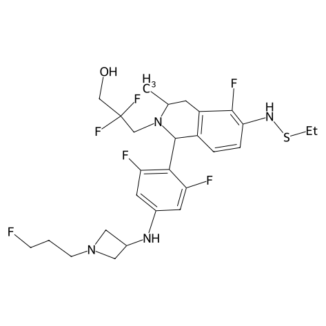 CCSNc1ccc2c(c1F)CC(C)N(CC(F)(F)CO)C2c1c(F)cc(NC2CN(CCCF)C2)cc1F